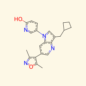 Cc1noc(C)c1-c1cnc2c(CC3CCC3)cn(-c3ccc(O)nc3)c2c1